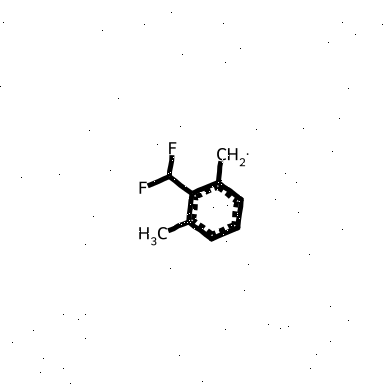 [CH2]c1cccc(C)c1C(F)F